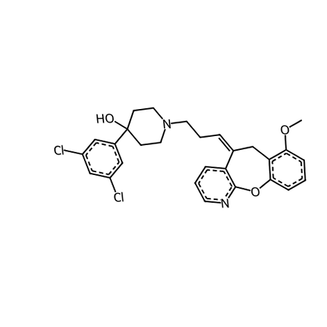 COc1cccc2c1C/C(=C/CCN1CCC(O)(c3cc(Cl)cc(Cl)c3)CC1)c1cccnc1O2